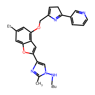 CCc1cc(OCC2=CCC(c3cccnc3)=N2)c2cc(-c3cn(NC(C)CC)c(C)n3)oc2c1